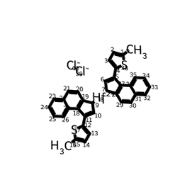 Cc1ccc(C2=C[CH]([Hf+2][CH]3C=C(c4ccc(C)s4)c4c3ccc3ccccc43)c3ccc4ccccc4c32)s1.[Cl-].[Cl-]